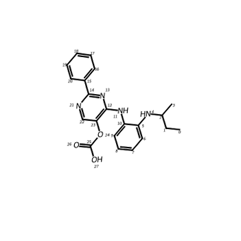 CCC(C)Nc1ccccc1Nc1nc(-c2ccccc2)ncc1OC(=O)O